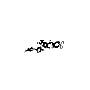 CC1(NC(=O)c2cc3c(cc2F)N(c2cc(N4CC(F)(F)C4)ncc2F)C(=O)C3(C)C)CCS(=O)(=O)CC1